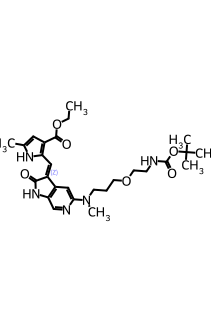 CCOC(=O)c1cc(C)[nH]c1/C=C1\C(=O)Nc2cnc(N(C)CCCOCCNC(=O)OC(C)(C)C)cc21